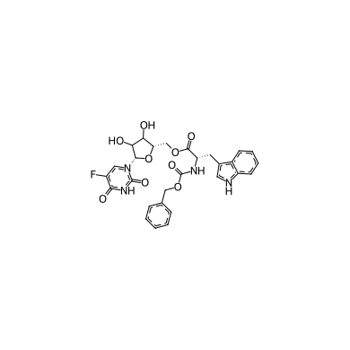 O=C(N[C@@H](Cc1c[nH]c2ccccc12)C(=O)OC[C@@H]1O[C@H](n2cc(F)c(=O)[nH]c2=O)C(O)C1O)OCc1ccccc1